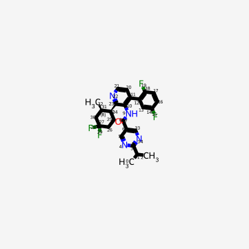 CC(C)c1ncc(C(=O)Nc2c(-c3cc(F)ccc3F)ccnc2[C@H]2CCC(F)(F)C[C@H]2C)cn1